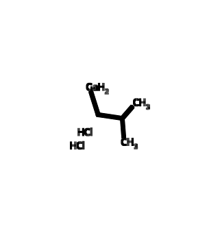 CC(C)[CH2][GaH2].Cl.Cl